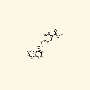 COC(=O)N1CCC(CCOc2cccc3c2CCN=C3)CC1